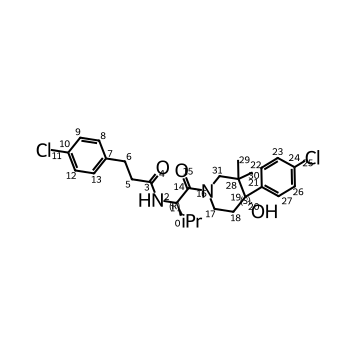 CC(C)[C@@H](NC(=O)CCc1ccc(Cl)cc1)C(=O)N1CC[C@](O)(c2ccc(Cl)cc2)C(C)(C)C1